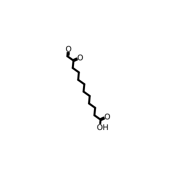 O=CC(=O)CCCCCCCCCC(=O)O